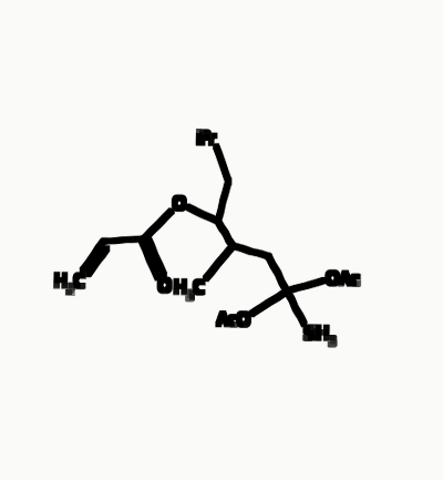 C=CC(=O)OC(CC(C)C)C(C)CC([SiH3])(OC(C)=O)OC(C)=O